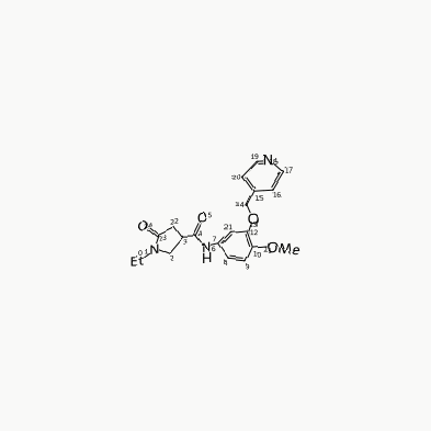 CCN1CC(C(=O)Nc2ccc(OC)c(OCc3ccncc3)c2)CC1=O